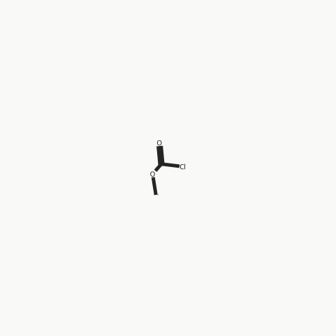 [CH2]OC(=O)Cl